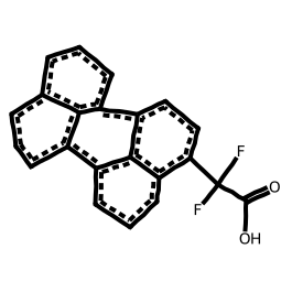 O=C(O)C(F)(F)c1ccc2c3cccc4cccc(c5cccc1c52)c43